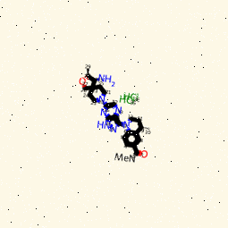 CNC(=O)c1ccc2c(c1)[C@@H](C)CCN2c1n[nH]c2nc(N3CCC4(CC3)CO[C@@H](C)[C@H]4N)cnc12.Cl.Cl